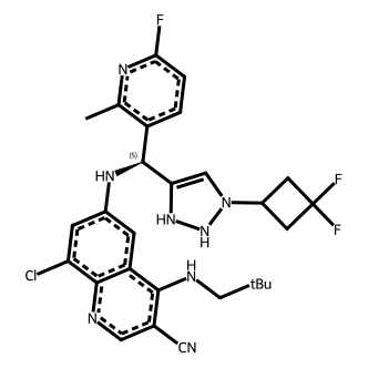 Cc1nc(F)ccc1[C@H](Nc1cc(Cl)c2ncc(C#N)c(NCC(C)(C)C)c2c1)C1=CN(C2CC(F)(F)C2)NN1